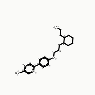 CCCC1CCCCC1CCCOc1ccc(-c2cnc(C)cn2)cc1